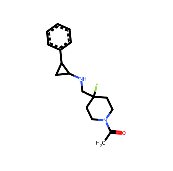 CC(=O)N1CCC(F)(CNC2CC2c2ccccc2)CC1